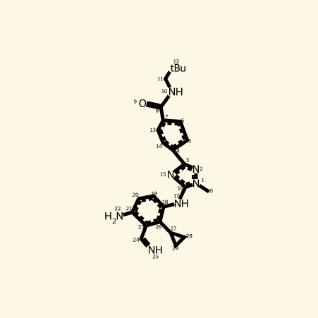 Cn1nc(-c2ccc(C(=O)NCC(C)(C)C)cc2)nc1Nc1ccc(N)c(C=N)c1C1CC1